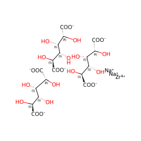 O=C([O-])[C@@H](O)[C@@H](O)[C@H](O)[C@@H](O)C(=O)[O-].O=C([O-])[C@@H](O)[C@@H](O)[C@H](O)[C@@H](O)C(=O)[O-].O=C([O-])[C@@H](O)[C@@H](O)[C@H](O)[C@@H](O)C(=O)[O-].[Na+].[Na+].[Zr+4]